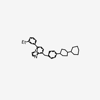 CCc1cccc(-c2ccc(Cc3ccc(C4CCC(C5CCCCC5)CC4)cc3)c3nccn23)c1